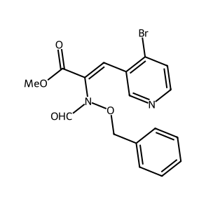 COC(=O)/C(=C/c1cnccc1Br)N(C=O)OCc1ccccc1